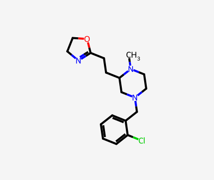 CN1CCN(Cc2ccccc2Cl)CC1CCC1=NCCO1